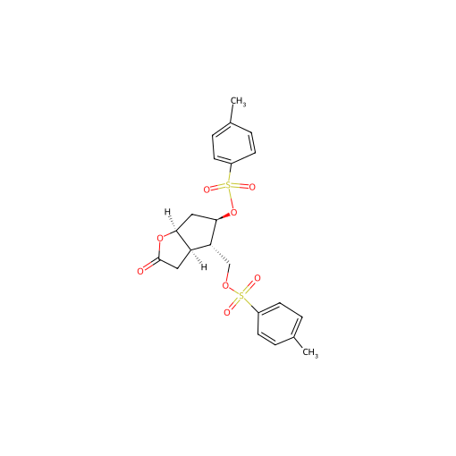 Cc1ccc(S(=O)(=O)OC[C@@H]2[C@H]3CC(=O)O[C@H]3C[C@H]2OS(=O)(=O)c2ccc(C)cc2)cc1